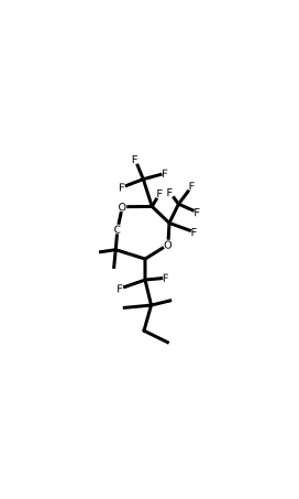 CCC(C)(C)C(F)(F)C1OC(F)(C(F)(F)F)C(F)(C(F)(F)F)OCC1(C)C